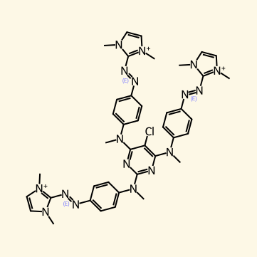 CN(c1ccc(/N=N/c2n(C)cc[n+]2C)cc1)c1nc(N(C)c2ccc(/N=N/c3n(C)cc[n+]3C)cc2)c(Cl)c(N(C)c2ccc(/N=N/c3n(C)cc[n+]3C)cc2)n1